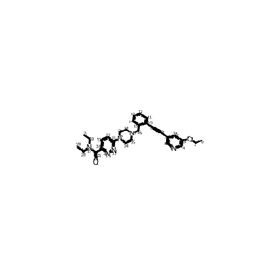 CCOc1cncc(C#Cc2ccccc2CN2CCN(c3ccc(C(=O)N(CC)CC)nn3)CC2)c1